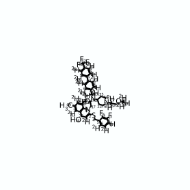 [2H]C1=C(SCc2c([2H])c([2H])c([2H])c(F)c2F)N(CC(=O)N(C2CCN(C([2H])([2H])COC([2H])([2H])[2H])CC2)C([2H])([2H])c2c([2H])c([2H])c(-c3c([2H])c([2H])c(C(F)(F)F)c([2H])c3[2H])c([2H])c2[2H])c2c([2H])c([2H])c(C)c([2H])c2C1O